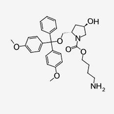 COc1ccc(C(OC[C@@H]2C[C@@H](O)CN2C(=O)OCCCCN)(c2ccccc2)c2ccc(OC)cc2)cc1